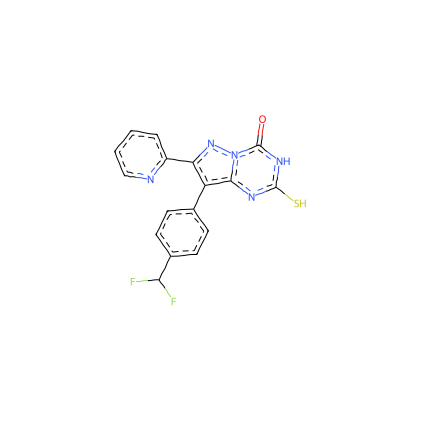 O=c1[nH]c(S)nc2c(-c3ccc(C(F)F)cc3)c(-c3ccccn3)nn12